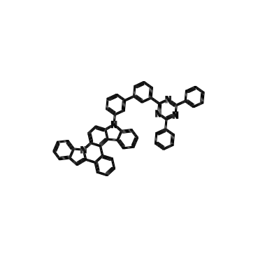 c1ccc(-c2nc(-c3ccccc3)nc(-c3cccc(-c4cccc(-n5c6ccccc6c6c7c8ccccc8c8cc9ccccc9n8c7ccc65)c4)c3)n2)cc1